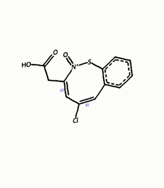 O=C(O)C/C1=C/C(Cl)=C\c2ccccc2S[N+]1=O